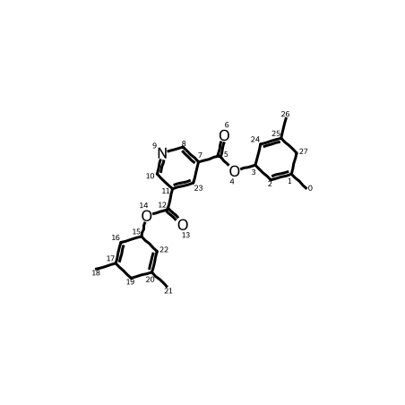 CC1=CC(OC(=O)c2cncc(C(=O)OC3C=C(C)CC(C)=C3)c2)C=C(C)C1